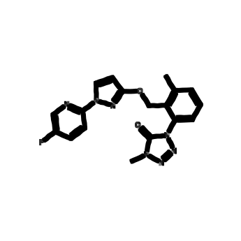 Cc1cccc(-n2nnn(C)c2=O)c1COc1ccn(-c2ccc(F)cn2)n1